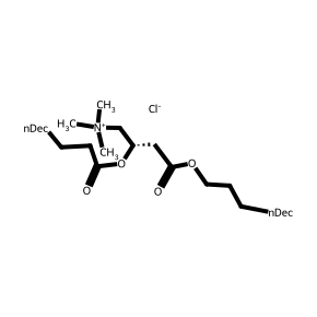 CCCCCCCCCCCCCOC(=O)C[C@@H](C[N+](C)(C)C)OC(=O)CCCCCCCCCCCC.[Cl-]